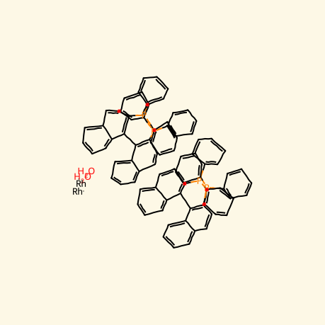 O.O.[Rh].[Rh].c1ccc(P(c2ccccc2)c2ccc3ccccc3c2-c2c(P(c3ccccc3)c3ccccc3)ccc3ccccc23)cc1.c1ccc(P(c2ccccc2)c2ccc3ccccc3c2-c2c(P(c3ccccc3)c3ccccc3)ccc3ccccc23)cc1